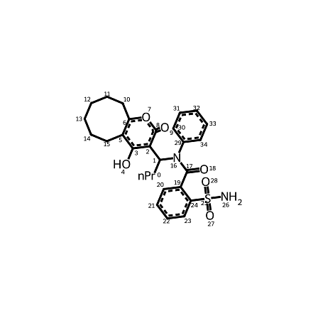 CCCC(c1c(O)c2c(oc1=O)CCCCCC2)N(C(=O)c1ccccc1S(N)(=O)=O)c1ccccc1